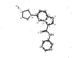 O=C(Nc1cncnc1)c1cnc2ccc(N3CC[C@H](F)C3)nn12